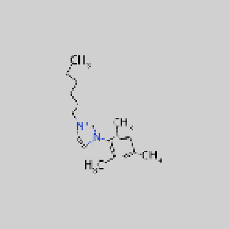 CCCCCC[n+]1ccn(-c2c(C)cc(C)cc2C)c1